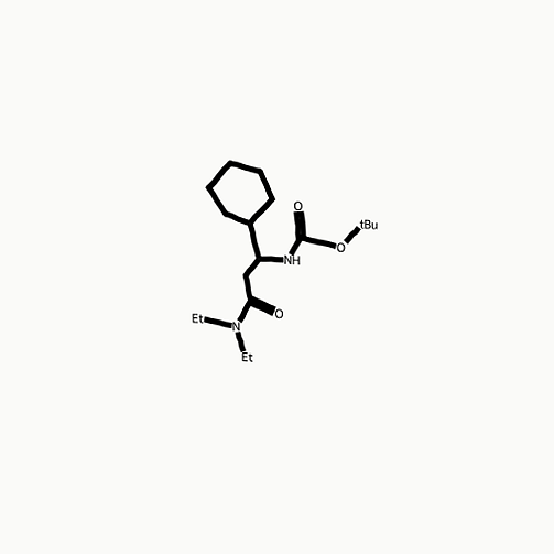 CCN(CC)C(=O)CC(NC(=O)OC(C)(C)C)C1CCCCC1